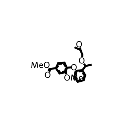 COC(=O)c1ccc(Oc2ccccc2C(C)OCC2CO2)c(OC)c1